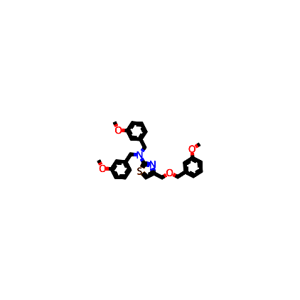 COc1cccc(COCc2csc(N(Cc3cccc(OC)c3)Cc3cccc(OC)c3)n2)c1